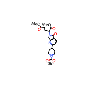 COC(=O)CCC(C(=O)OC)N1Cc2nc(C3CCN(C(=O)OC(C)(C)C)CC3)ccc2C1=O